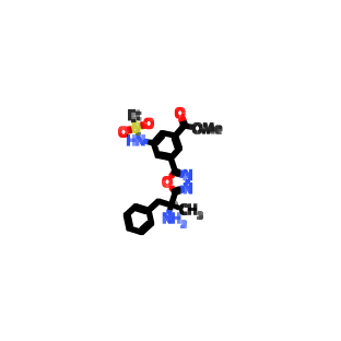 CCS(=O)(=O)Nc1cc(C(=O)OC)cc(-c2nnc([C@](C)(N)Cc3ccccc3)o2)c1